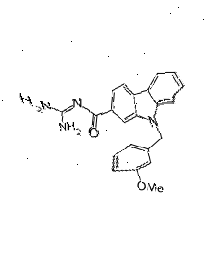 COc1cccc(Cn2c3ccccc3c3ccc(C(=O)N=C(N)N)cc32)c1